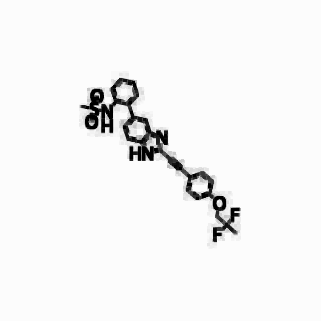 CC(F)(F)COc1ccc(C#Cc2nc3cc(-c4ccccc4NS(C)(=O)=O)ccc3[nH]2)cc1